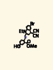 CCN1C(/C=C/c2ccc(O)cc2C(=O)OC)=CC(=C(C#N)C#N)c2cc(Br)ccc21